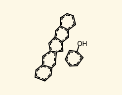 Oc1ccccc1.c1ccc2cc3cc4cc5ccccc5cc4cc3cc2c1